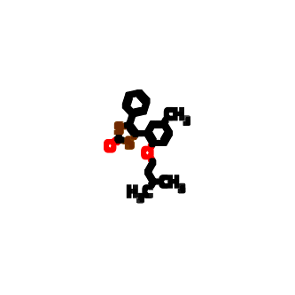 Cc1ccc(OCCC(C)C)c(-c2sc(=O)sc2-c2ccccc2)c1